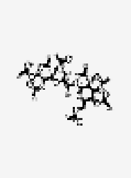 CC(=O)OCC1OC(O[C@@H](C)C(COC(C)=O)OC(OC(C)=O)[C@H](COC(C)=O)OC(C)=O)C(OC(C)=O)C(OC(C)=O)C1OC(C)=O